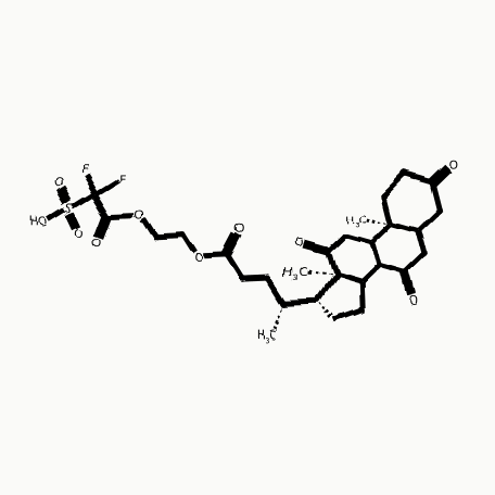 C[C@H](CCC(=O)OCCOC(=O)C(F)(F)S(=O)(=O)O)[C@H]1CCC2C3C(=O)CC4CC(=O)CC[C@]4(C)C3CC(=O)[C@@]21C